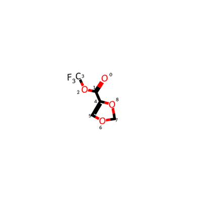 O=C(OC(F)(F)F)C1=COCO1